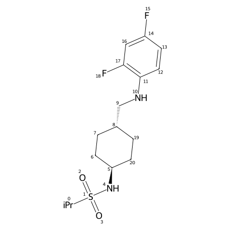 CC(C)S(=O)(=O)N[C@H]1CC[C@H](CNc2ccc(F)cc2F)CC1